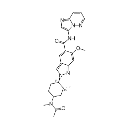 COc1cc2nn([C@@H]3CCC(N(C)C(C)=O)C[C@H]3C)cc2cc1C(=O)Nc1cnc2cccnn12